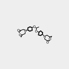 CC(Oc1ccc(N(CC2CO2)CC2CO2)cc1)Oc1ccc(N(CC2CO2)CC2CO2)cc1